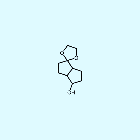 OC1CCC2C1CCC21OCCO1